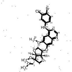 COC[C@@]1(OC)CO[C@@H]2[C@H]1OC[C@H]2Oc1cc2ncnc(Nc3ccc(Br)c(Cl)c3)c2cc1OC